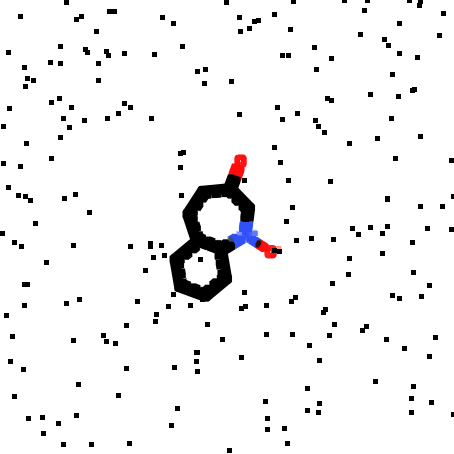 O=c1ccc2ccccc2[n+]([O-])c1